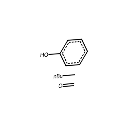 C=O.CCCCC.Oc1ccccc1